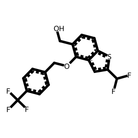 OCc1ccc2sc(C(F)F)cc2c1OCc1ccc(C(F)(F)F)cc1